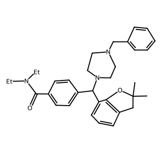 CCN(CC)C(=O)c1ccc(C(c2cccc3c2OC(C)(C)C3)N2CCN(Cc3ccccc3)CC2)cc1